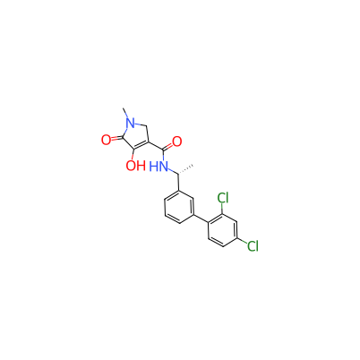 C[C@@H](NC(=O)C1=C(O)C(=O)N(C)C1)c1cccc(-c2ccc(Cl)cc2Cl)c1